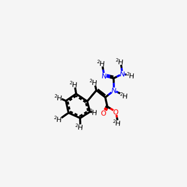 [2H]N=C(N([2H])[2H])N([2H])C(C(=O)O[2H])=C([2H])c1c([2H])c([2H])c([2H])c([2H])c1[2H]